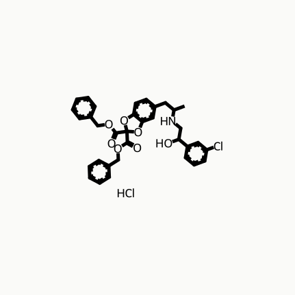 CC(Cc1ccc2c(c1)OC(C(=O)OCc1ccccc1)(C(=O)OCc1ccccc1)O2)NCC(O)c1cccc(Cl)c1.Cl